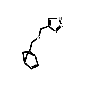 C1=CC2CC1CC2COCc1c[nH]nn1